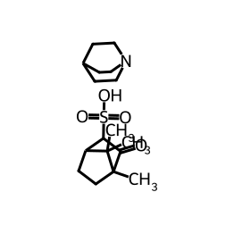 C1CN2CCC1CC2.CC12CCC(C(S(=O)(=O)O)C1=O)C2(C)C